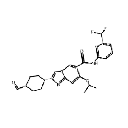 CC(C)Oc1cc2nc([C@H]3CC[C@H](C=O)CC3)cn2cc1C(=O)Nc1cccc(C(F)F)n1